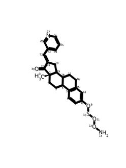 C[C@]12CCC3c4ccc(OSOON)cc4CCC3C1C/C(=C\c1cccnc1)C2=O